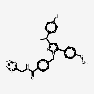 CC(c1ccc(Cl)cc1)c1cc(-c2ccc(OC(F)(F)F)cc2)n(Cc2ccc(C(=O)NCc3nn[nH]n3)cc2)n1